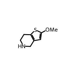 COc1cc2c(s1)CCNC2